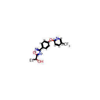 CCC(O)c1nc(-c2ccc(Oc3ccc(C(F)(F)F)cn3)cc2)no1